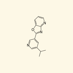 CC(C)c1cncc(-c2nc3ncccc3o2)c1